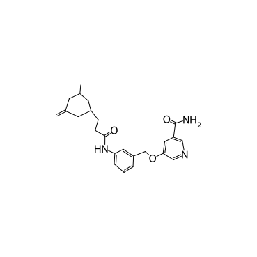 C=C1CC(C)CC(CCC(=O)Nc2cccc(COc3cncc(C(N)=O)c3)c2)C1